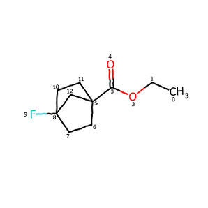 CCOC(=O)C12CCC(F)(CC1)C2